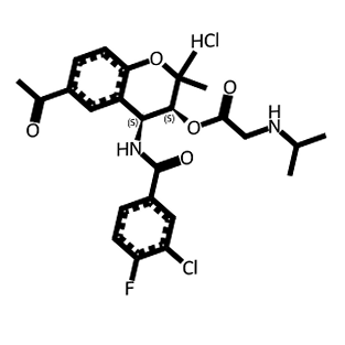 CC(=O)c1ccc2c(c1)[C@H](NC(=O)c1ccc(F)c(Cl)c1)[C@H](OC(=O)CNC(C)C)C(C)(C)O2.Cl